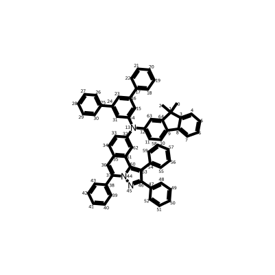 CC1(C)c2ccccc2-c2ccc(N(c3cc(-c4ccccc4)cc(-c4ccccc4)c3)c3ccc4cc(-c5ccccc5)n5nc(-c6ccccc6)c(-c6ccccc6)c5c4c3)cc21